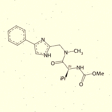 COC(=O)N[C@H](C(=O)N(C)Cc1nc(-c2ccccc2)c[nH]1)C(C)C